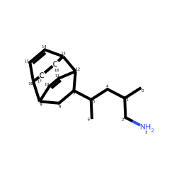 CC(CN)CC(C)C1CC2C=CC1C1C=CC2CC1